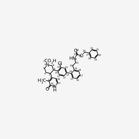 Cc1c(C2CCN(C(=O)O)CC2c2ccc(-c3ccccc3CCNC(=O)OCc3ccccc3)cc2Cl)cc[nH]c1=O